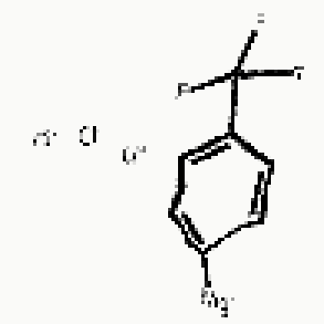 FC(F)(F)c1cc[c]([Mg+])cc1.[Cl-].[Cl-].[Li+]